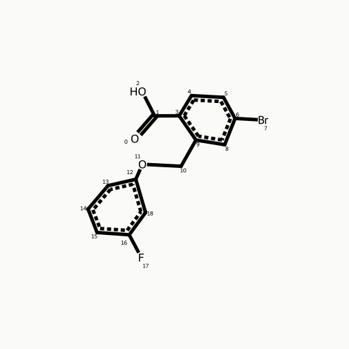 O=C(O)c1ccc(Br)cc1COc1cccc(F)c1